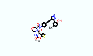 Cn1cc(C#Cc2ccc(NC(=O)[C@@H]3COCCN3C(=O)[C@H](NC(=O)OC(C)(C)C)c3ccsc3)cc2)c(-c2cc(C#N)ccc2O)n1